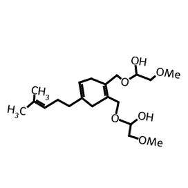 COCC(O)OCC1=C(COC(O)COC)CC(CCC=C(C)C)=CC1